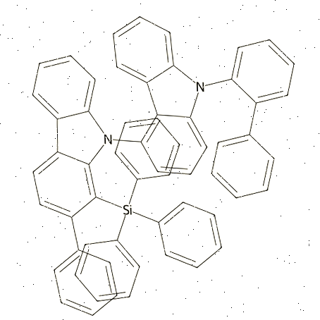 c1ccc(-c2ccccc2-n2c3ccccc3c3c(-n4c5ccccc5c5ccc(-c6ccccc6)c([Si](c6ccccc6)(c6ccccc6)c6ccccc6)c54)cccc32)cc1